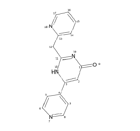 O=c1cc(-c2ccncc2)[nH]c(Cc2ccccn2)n1